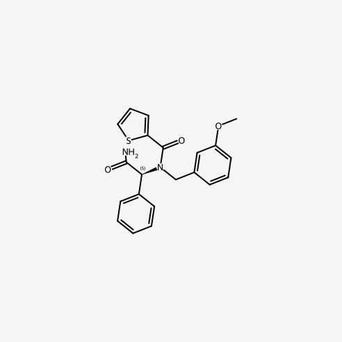 COc1cccc(CN(C(=O)c2cccs2)[C@H](C(N)=O)c2ccccc2)c1